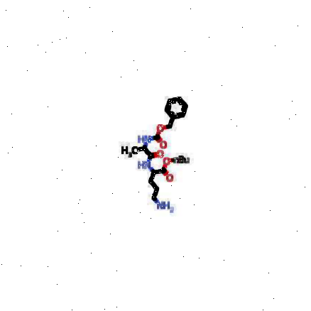 CCCCOC(=O)C(CCCN)NC(=O)C(C)NC(=O)OCc1ccccc1